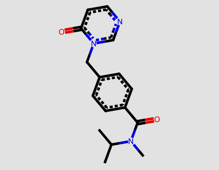 CC(C)N(C)C(=O)c1ccc(Cn2cnccc2=O)cc1